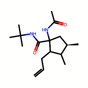 C=CCC1C(C)[C@H](C)CC1(NC(C)=O)C(=O)NC(C)(C)C